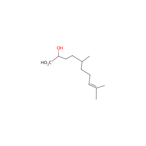 CC(C)=CCCC(C)CCC(O)C(=O)O